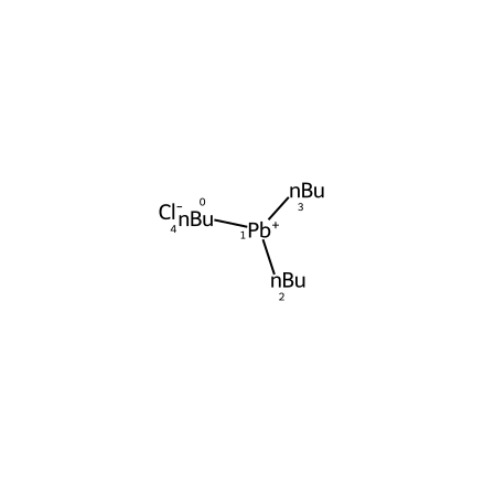 CCC[CH2][Pb+]([CH2]CCC)[CH2]CCC.[Cl-]